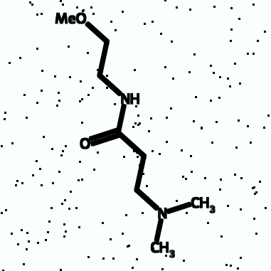 COCCNC(=O)CCN(C)C